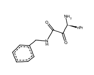 CCC[C@H](N)C(=O)C(=O)NCc1ccccc1